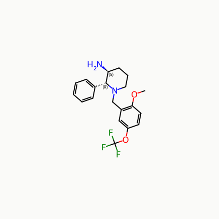 COc1ccc(OC(F)(F)F)cc1CN1CCC[C@H](N)[C@H]1c1ccccc1